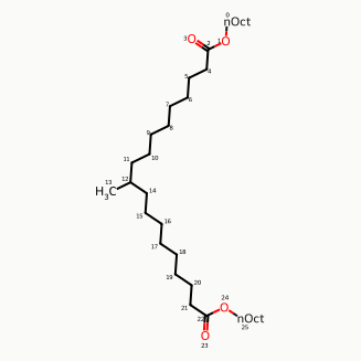 CCCCCCCCOC(=O)CCCCCCCCC(C)CCCCCCCCC(=O)OCCCCCCCC